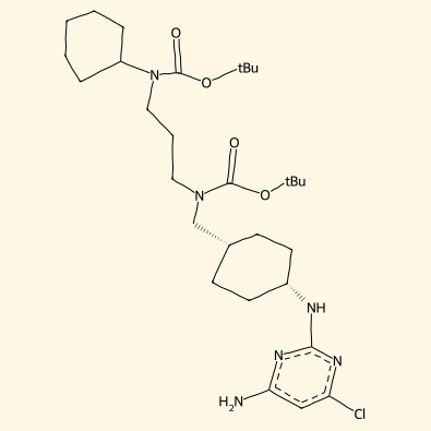 CC(C)(C)OC(=O)N(CCCN(C(=O)OC(C)(C)C)C1CCCCC1)C[C@H]1CC[C@@H](Nc2nc(N)cc(Cl)n2)CC1